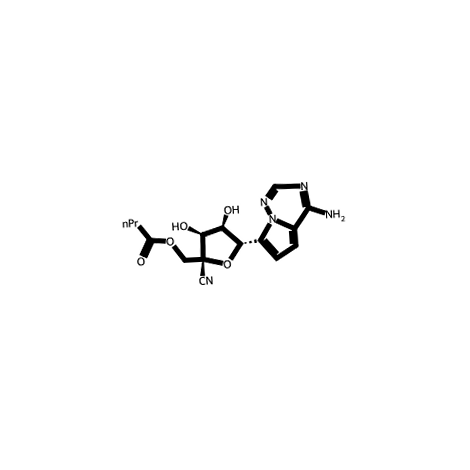 CCCC(=O)OC[C@@]1(C#N)O[C@@H](c2ccc3c(N)ncnn23)[C@H](O)[C@@H]1O